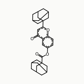 O=C(Oc1ccc2oc(C34CC5CC(CC(C5)C3)C4)cc(=O)c2c1)C12CC3CC(CC(C3)C1)C2